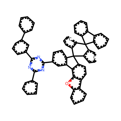 c1ccc(-c2cccc(-c3nc(-c4ccccc4)nc(-c4ccc5c(c4)-c4c(ccc6c4oc4ccccc46)C54c5ccccc5C5(c6ccccc6-c6ccccc65)c5ccccc54)n3)c2)cc1